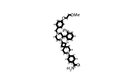 COCCOc1ccc(CN2CCN(C3CC4(CCN(c5ccc(C(N)=O)cc5)CC4)C3)C(c3ccccc3C(C)C)C2)cc1